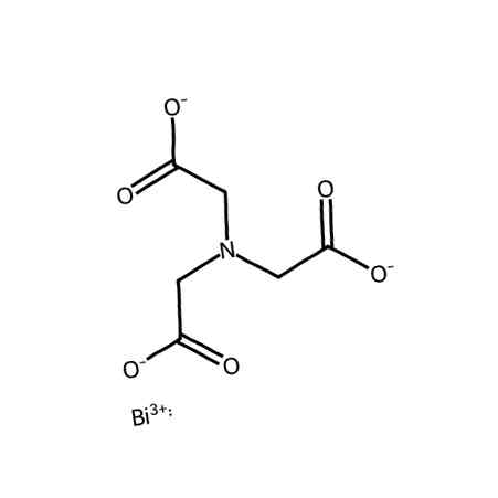 O=C([O-])CN(CC(=O)[O-])CC(=O)[O-].[Bi+3]